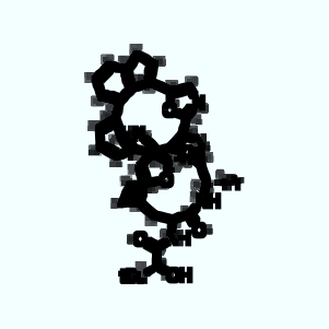 CC(C)[C@@H]1NC(=O)C(NC(=O)[C@@H](O)C(C)(C)C)Cc2ccc3c(c2)C24c5cccc(c5N[C@H]2O3)-c2cccc3c2C(=CC3)c2cnc(o2)-c2nc1oc24